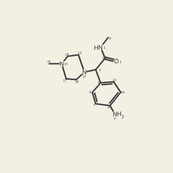 CNC(=O)C(c1ccc(N)cc1)N1CCN(C)CC1